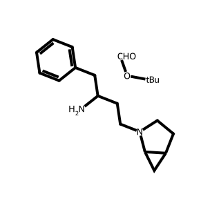 CC(C)(C)OC=O.NC(CCN1CCC2CC21)Cc1ccccc1